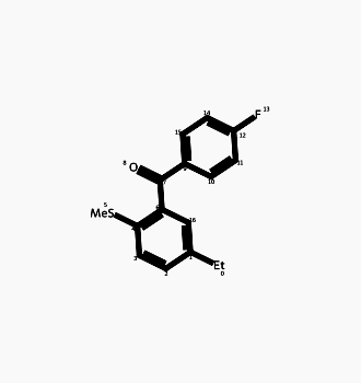 CCc1ccc(SC)c(C(=O)c2ccc(F)cc2)c1